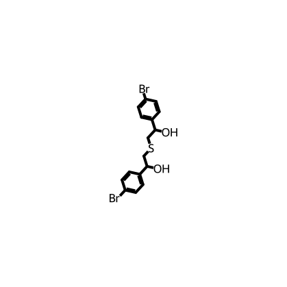 OC(CSCC(O)c1ccc(Br)cc1)c1ccc(Br)cc1